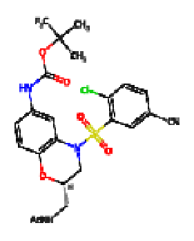 CC(=O)NC[C@H]1CN(S(=O)(=O)c2cc(C#N)ccc2Cl)c2cc(NC(=O)OC(C)(C)C(F)(F)F)ccc2O1